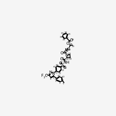 Cc1ccc(-c2cc(C(F)(F)F)nn2-c2ccc(S(=O)(=O)NC(=O)[C@@H]3CCN3/[N+]([O-])=N\OC(C)OC(=O)c3ccccc3)cc2)cc1